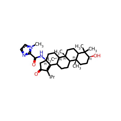 CC(C)C1=C2C3CCC4[C@@]5(C)CC[C@H](O)C(C)(C)C5CC[C@@]4(C)[C@]3(C)CC[C@@]2(NC(=O)c2nccn2C)CC1=O